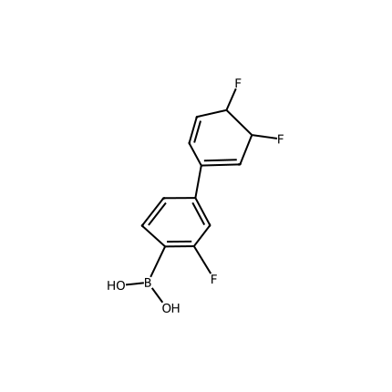 OB(O)c1ccc(C2=CC(F)C(F)C=C2)cc1F